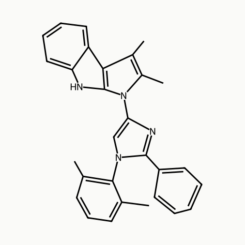 Cc1cccc(C)c1-n1cc(-n2c(C)c(C)c3c4ccccc4[nH]c32)nc1-c1ccccc1